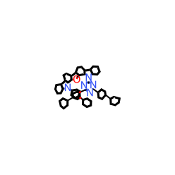 c1ccc(-c2ccc(-c3nc(-c4ccc(-c5ccccc5)cc4)nc(-n4c5ccccc5c5ccc6c7ccc8c9ccccc9n(-c9ccc(-c%10ccccc%10)cc9)c8c7oc6c54)n3)cc2)cc1